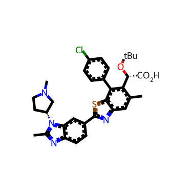 Cc1cc2nc(-c3ccc4nc(C)n([C@@H]5CCN(C)C5)c4c3)sc2c(-c2ccc(Cl)cc2)c1[C@H](OC(C)(C)C)C(=O)O